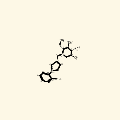 OC[C@@H]1[C@@H](O)[C@H](O)[C@@H](O)CN1C[C@H]1CCN(c2ccccc2F)C1